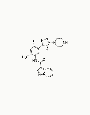 Cc1cc(F)c(-c2nnc(N3CCNCC3)[nH]2)cc1NC(=O)c1cnn2ccccc12